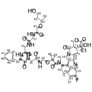 CC[C@@]1(O)C(=O)OCc2c1cc1n(c2=O)Cc2c-1nc1cc(F)c(C)c3c1c2[C@@H](N(C)C(=O)C1(OCNC(=O)CNC(=O)[C@H](Cc2ccccc2)NC(=O)CNC(=O)CNC(=O)COC(C)CCO)CC1)CC3